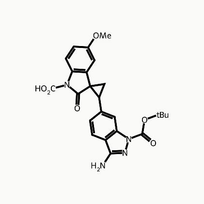 COc1ccc2c(c1)C1(CC1c1ccc3c(N)nn(C(=O)OC(C)(C)C)c3c1)C(=O)N2C(=O)O